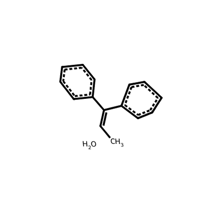 CC=C(c1ccccc1)c1ccccc1.O